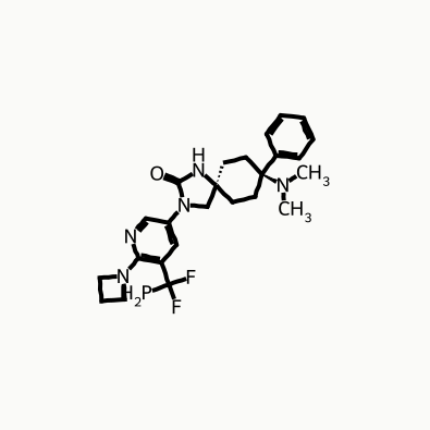 CN(C)[C@]1(c2ccccc2)CC[C@]2(CC1)CN(c1cnc(N3CCC3)c(C(F)(F)P)c1)C(=O)N2